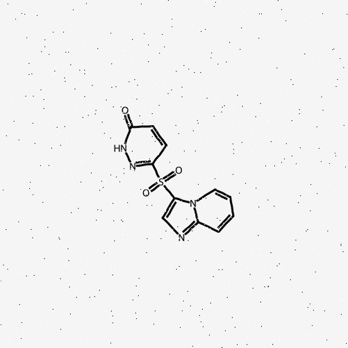 O=c1ccc(S(=O)(=O)c2cnc3ccccn23)n[nH]1